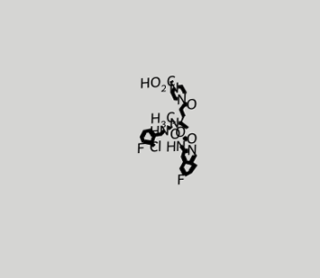 CN(C(=O)NCc1cccc(F)c1Cl)[C@@H](CCC(=O)N1CCN(C(=O)O)CC1)COC(=O)Nc1cc2cc(F)ccc2cn1